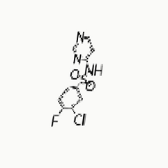 O=S(=O)(Nc1ccncn1)c1ccc(F)c(Cl)c1